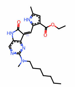 CCCCCCCN(C)c1ncc2c(n1)/C(=C/c1[nH]c(C)cc1C(=O)OCC)C(=O)N2